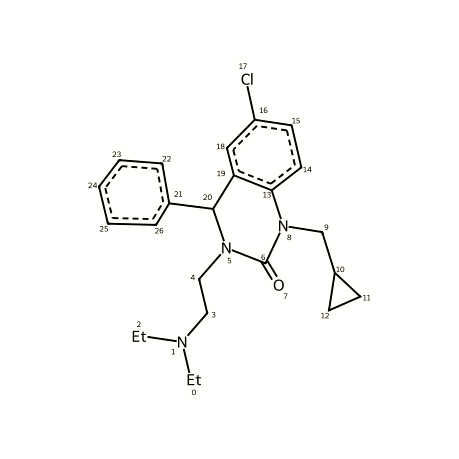 CCN(CC)CCN1C(=O)N(CC2CC2)c2ccc(Cl)cc2C1c1ccccc1